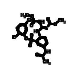 COC(=O)N=C(NC(=O)OC)Nc1ccc(NC(C)=O)cc1S(=O)(=O)Oc1cc(C)ccc1Cl